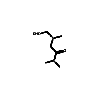 CN(CC=O)CC(=O)N(C)C